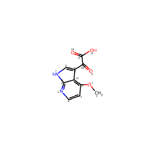 COc1ccnc2[nH]cc(C(=O)C(=O)O)c12